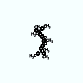 Cc1ccc(N(c2ccc3cc4c(cc3c2)oc2c(C)c3oc5cc6cc(N(c7ccc(C)cc7)c7cc(C)ccc7C)ccc6cc5c3cc24)c2cc(C)ccc2C)cc1